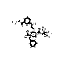 COC(=O)c1cccc(NCC[C@@H]2C[N+](Cc3ccccc3)(C(=O)[O-])CCN2C(=O)OC(C)(C)C)c1